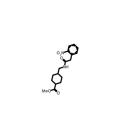 COC(=O)C1CCC(CNC(=O)Cc2ccccc2[N+](=O)[O-])CC1